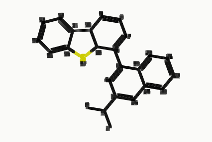 CC(C)c1cc(C2=CC=CC3c4ccccc4SC23)c2ccccc2c1